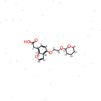 O=C(O)Cc1ccc(OCCOC2CCCCO2)c2ccoc12